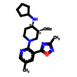 CO[C@@H]1CN(c2ncc(C)cc2-c2nc(C)no2)CC[C@@H]1NC1CCCC1